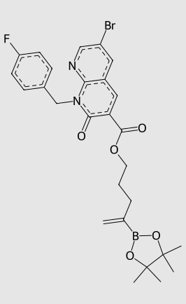 C=C(CCCOC(=O)c1cc2cc(Br)cnc2n(Cc2ccc(F)cc2)c1=O)B1OC(C)(C)C(C)(C)O1